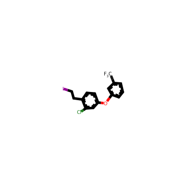 FC(F)(F)c1cccc(Oc2ccc(CCI)c(Cl)c2)c1